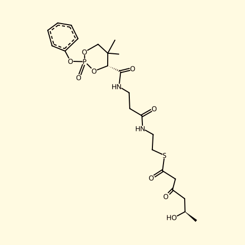 C[C@@H](O)CC(=O)CC(=O)SCCNC(=O)CCNC(=O)[C@@H]1OP(=O)(Oc2ccccc2)OCC1(C)C